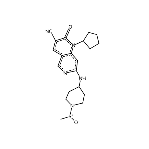 C[S+]([O-])N1CCC(Nc2cc3c(cn2)cc(C#N)c(=O)n3C2CCCC2)CC1